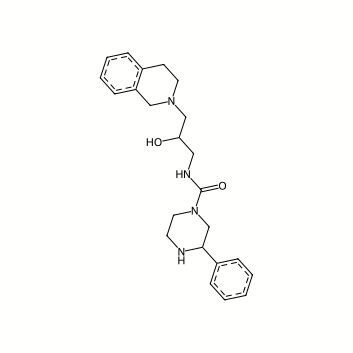 O=C(NCC(O)CN1CCc2ccccc2C1)N1CCNC(c2ccccc2)C1